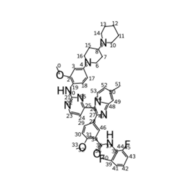 COc1cc(N2CCC(N3CCCCC3)CC2)ccc1Nc1nccc(-c2c(-c3ccc(OC)c(C(=O)Nc4c(F)cccc4F)c3)nc3cc(C)ccn23)n1